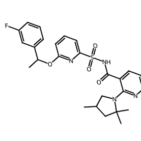 CC1CN(c2ncccc2C(=O)NS(=O)(=O)c2cccc(OC(C)c3cccc(F)c3)n2)C(C)(C)C1